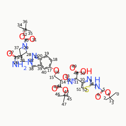 CC(C)(C)OC(=O)Nc1nc(/C(=N/OC(COc2ccc3nn(CC4(C(N)=O)CN(C(=O)OC(C)(C)C)C4)cc3c2)C(=O)OC(C)(C)C)C(=O)O)cs1